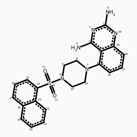 Nc1nc(N)c2c(N3CCN(S(=O)(=O)c4cccc5ccccc45)CC3)cccc2n1